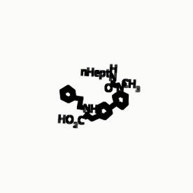 CCCCCCCNC(=O)N(C)c1cccc(-c2ccc(CC(NCCc3ccccc3)C(=O)O)cc2)c1